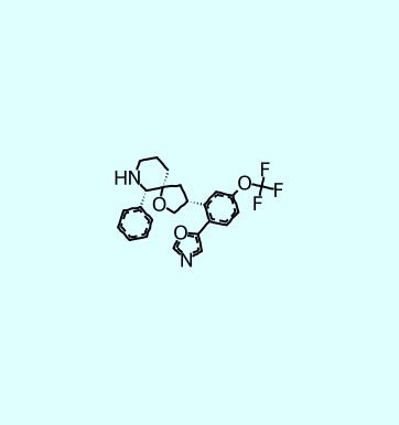 FC(F)(F)Oc1ccc(-c2cnco2)c([C@@H]2CO[C@]3(CCCN[C@H]3c3ccccc3)C2)c1